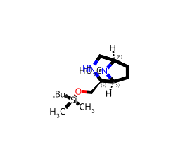 CC(C)(C)[Si](C)(C)OC[C@H]1NC[C@H]2CC[C@@H]1N2C(=O)O